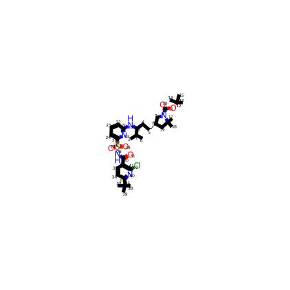 CC(C)C(CC[C@@H]1CN(C(=O)OC(C)(C)C)C(C)(C)C1)Nc1cccc(S(=O)(=O)NC(=O)c2ccc(C(C)(C)C)nc2Cl)n1